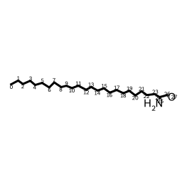 CCCCCCCCCCCCCCCCCCCCCCCCC(N)C=O